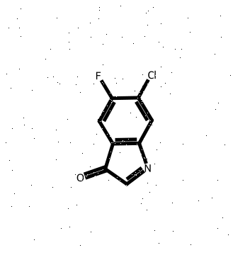 O=C1C=Nc2cc(Cl)c(F)cc21